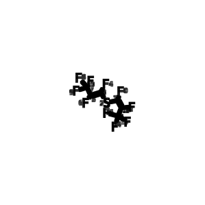 FC(SC(F)=C(F)C(F)(F)F)=C(F)C(F)(F)F